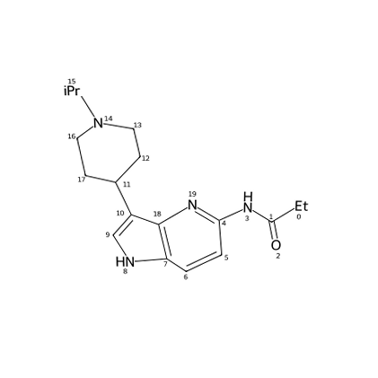 CCC(=O)Nc1ccc2[nH]cc(C3CCN(C(C)C)CC3)c2n1